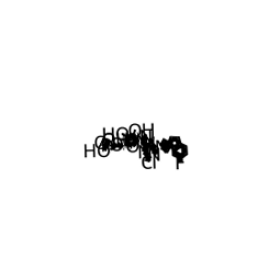 O=P(O)(O)COC[C@H]1O[C@@H](n2ncc3c(N4CC5(CCc6ccc(F)cc65)C4)nc(Cl)nc32)[C@H](O)[C@@H]1O